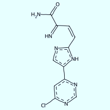 N=C(/C=C\c1ncc(-c2cc(Cl)ncn2)[nH]1)C(N)=O